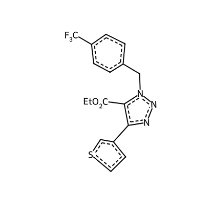 CCOC(=O)c1c(-c2ccsc2)nnn1Cc1ccc(C(F)(F)F)cc1